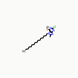 Cc1nc2nc(Cl)nc(SC(C)C)c2n1CCCCCCCCCCCCCCCC#N